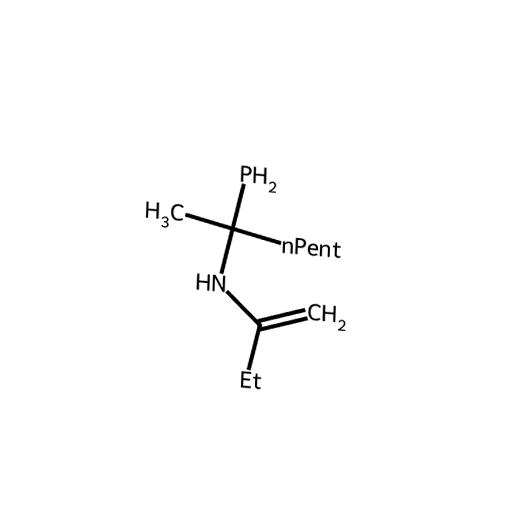 C=C(CC)NC(C)(P)CCCCC